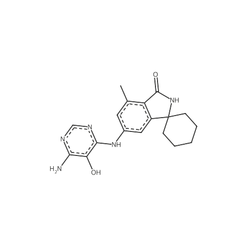 Cc1cc(Nc2ncnc(N)c2O)cc2c1C(=O)NC21CCCCC1